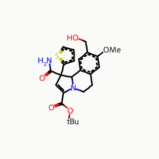 COc1cc2c(cc1CO)C1N(CC2)C(C(=O)OC(C)(C)C)=CC1(C(N)=O)c1cccs1